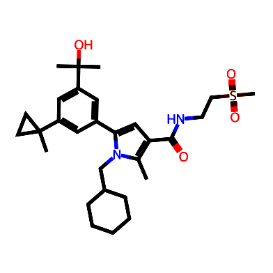 Cc1c(C(=O)NCCS(C)(=O)=O)cc(-c2cc(C(C)(C)O)cc(C3(C)CC3)c2)n1CC1CCCCC1